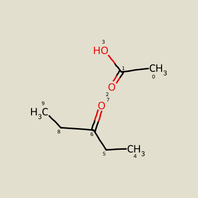 CC(=O)O.CCC(=O)CC